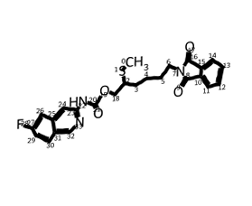 CSC(CCCCN1C(=O)c2ccccc2C1=O)COC(=O)Nc1cc2cc(F)ccc2cn1